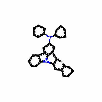 c1ccc(N(c2ccccc2)c2cc3c4ccccc4n4c5cc6ccccc6cc5c(c2)c34)cc1